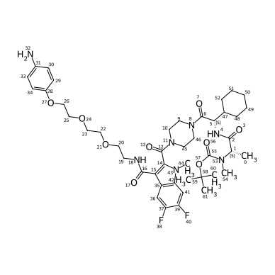 C[C@@H](C(=O)N[C@H](C(=O)N1CCN(C(=O)c2c(C(=O)NCCOCCOCCOc3ccc(N)cc3)c3cc(F)c(F)cc3n2C)CC1)C1CCCCC1)N(C)C(=O)OC(C)(C)C